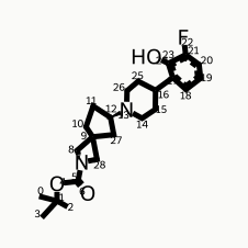 CC(C)(C)OC(=O)N1CC2(CC[C@@H](N3CCC(c4cccc(F)c4O)CC3)C2)C1